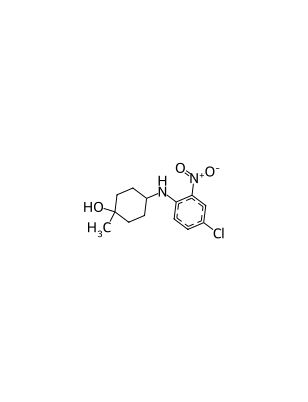 CC1(O)CCC(Nc2ccc(Cl)cc2[N+](=O)[O-])CC1